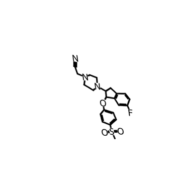 CS(=O)(=O)c1ccc(OC2c3cc(F)ccc3CC2N2CCN(CC#N)CC2)cc1